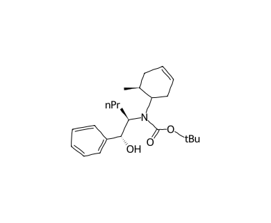 CCC[C@H]([C@H](O)c1ccccc1)N(C(=O)OC(C)(C)C)C1CC=CC[C@@H]1C